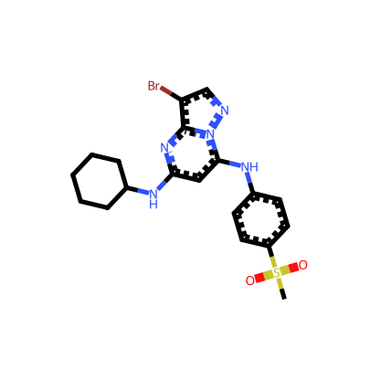 CS(=O)(=O)c1ccc(Nc2cc(NC3CCCCC3)nc3c(Br)cnn23)cc1